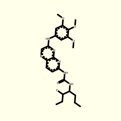 CCCC(NC(=S)Nc1ccc2ncc(Nc3cc(OC)c(OC)c(OC)c3)nc2n1)C(F)CC